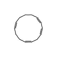 [C]1=CC=CCC=CCCC=CCCC1